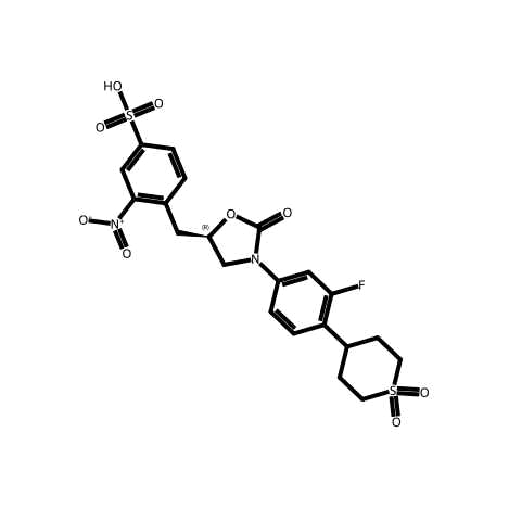 O=C1O[C@H](Cc2ccc(S(=O)(=O)O)cc2[N+](=O)[O-])CN1c1ccc(C2CCS(=O)(=O)CC2)c(F)c1